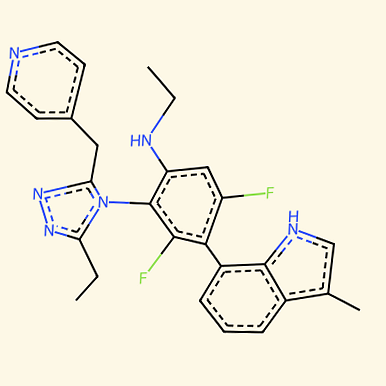 CCNc1cc(F)c(-c2cccc3c(C)c[nH]c23)c(F)c1-n1c(CC)nnc1Cc1ccncc1